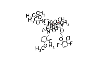 COc1cccc(CN(C(=O)C2=C(c3cnc(OCCOc4c(F)ccc(F)c4Cl)s3)CC3CN(C(=O)OC(C)(C)C)C[C@H]2N3C(=O)OC(C)(C)C)C2CC2)c1C